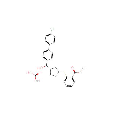 COC(=O)c1ccccc1S[C@@H]1CC[C@@H](C(O)c2ccc(-c3ccc(Cl)cc3)cc2)C1.O=C(O)O